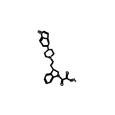 NC(=O)C(=O)N1CC(CCN2CCC(c3ccc4[nH]ccc4c3)CC2)c2ccccc21